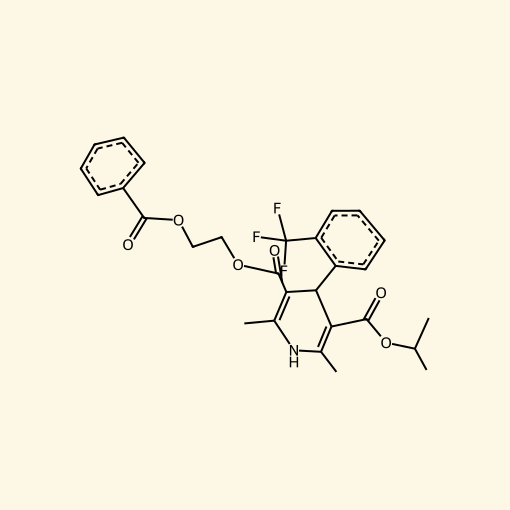 CC1=C(C(=O)OCCOC(=O)c2ccccc2)C(c2ccccc2C(F)(F)F)C(C(=O)OC(C)C)=C(C)N1